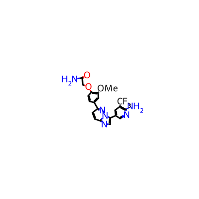 COc1cc(-c2ccc3ncc(-c4cnc(N)c(C(F)(F)F)c4)n3n2)ccc1OCC(N)=O